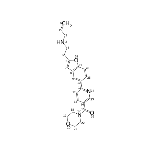 C=CCNCCc1cc2cc(-c3ccc(C(=O)N4CCOCC4)cn3)ccc2o1